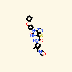 Cc1cc(NC(=O)c2sc3ncnc4c3c2NC(=O)N4c2ccc(Oc3ccccc3)cc2)ccc1CN1CCOCC1